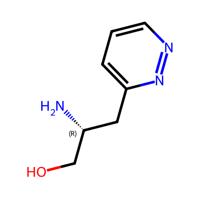 N[C@@H](CO)Cc1cccnn1